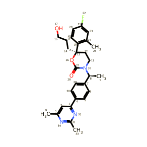 Cc1cc(-c2ccc([C@H](C)N3CC[C@](CCCO)(c4ccc(F)cc4C)OC3=O)cc2)nc(C)n1